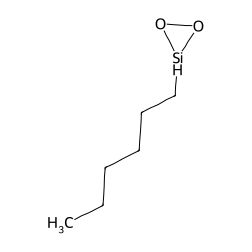 CCCCCC[SiH]1OO1